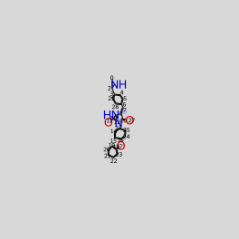 CNCc1ccc(/C=C2\NC(=O)N(c3ccc(Oc4ccccc4)cc3)C2=O)cc1